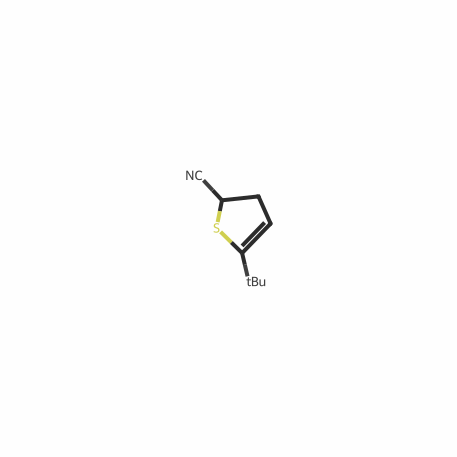 CC(C)(C)C1=CCC(C#N)S1